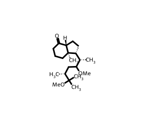 COC(C[C@@H](C)C(C)(C)OC)[C@@H](C)[C@H]1CC[C@H]2C(=O)CCC[C@]12C